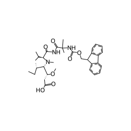 CC[C@H](C)[C@@H]([C@@H](CC(=O)O)OC)N(C)[C@H](C(=O)NC(=O)C(C)(C)NC(=O)OCC1c2ccccc2-c2ccccc21)C(C)C